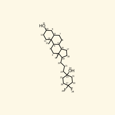 CC12CCC3C(CCC4CC(O)CCC43C)C1CCC2CCCC1(O)CCC(F)(F)CC1